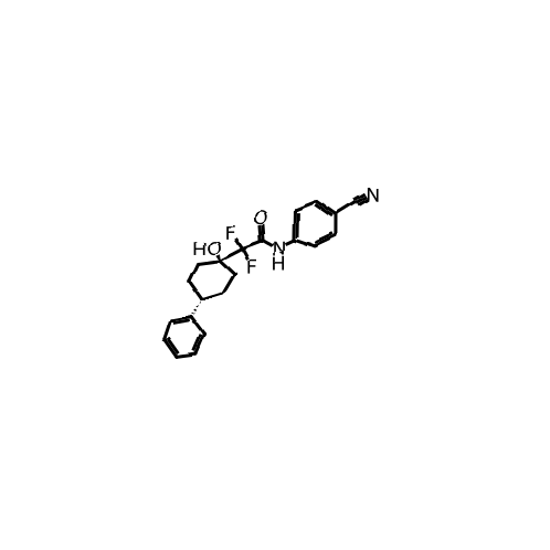 N#Cc1ccc(NC(=O)C(F)(F)[C@]2(O)CC[C@H](c3ccccc3)CC2)cc1